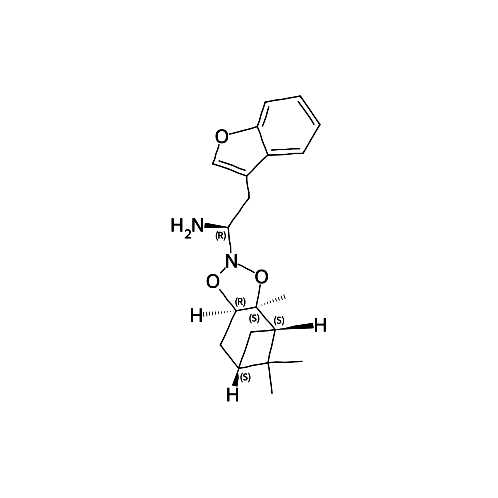 CC1(C)[C@@H]2C[C@H]3ON([C@@H](N)Cc4coc5ccccc45)O[C@@]3(C)[C@H]1C2